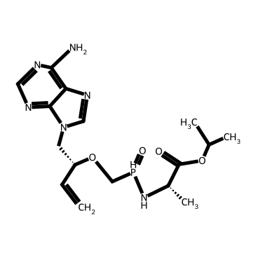 C=C[C@H](Cn1cnc2c(N)ncnc21)OC[PH](=O)N[C@@H](C)C(=O)OC(C)C